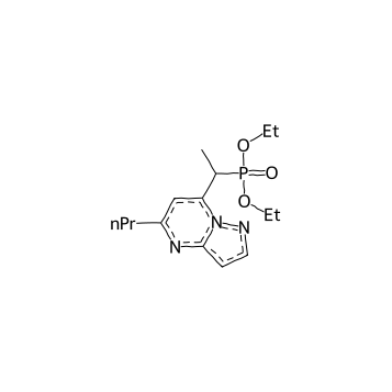 CCCc1cc(C(C)P(=O)(OCC)OCC)n2nccc2n1